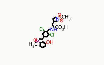 CP(=O)(CCc1cc(Cl)c(CN[C@@H](Cc2ccn(S(C)(=O)=O)c2)C(=O)O)c(Cl)c1)c1cccc(O)c1